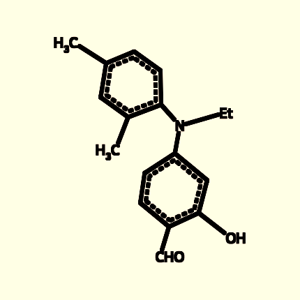 CCN(c1ccc(C=O)c(O)c1)c1ccc(C)cc1C